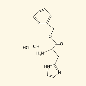 Cl.Cl.NC(Cc1ncc[nH]1)C(=O)OCc1ccccc1